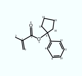 C=C(C)C(=O)OC1(c2ccccc2)CCCC1